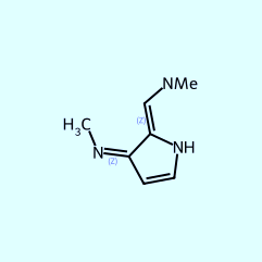 C/N=C1/C=CN/C1=C\NC